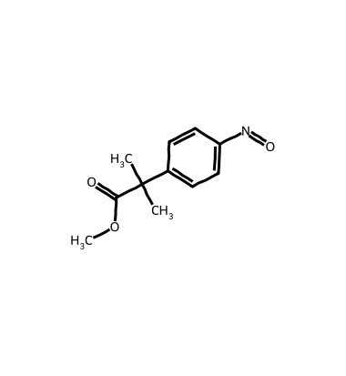 COC(=O)C(C)(C)c1ccc(N=O)cc1